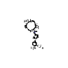 C=C1CCC(C)(C)C(=C)[C@H](C)[C@@H](O)[C@@H](C)CCC[C@@]2(C)O[C@H]2C[C@@H](/C(C)=C/c2ccn(-c3ccc(N)c(C(F)(F)F)c3)n2)O1